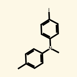 Cc1ccc(N(C)c2ccc(I)cc2)cc1